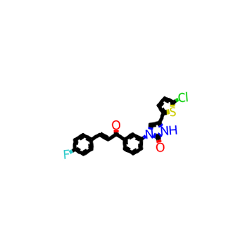 O=C(/C=C/c1ccc(F)cc1)c1cccc(-n2cc(-c3ccc(Cl)s3)[nH]c2=O)c1